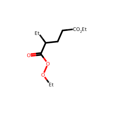 CCOOC(=O)C(CC)CCC(=O)OCC